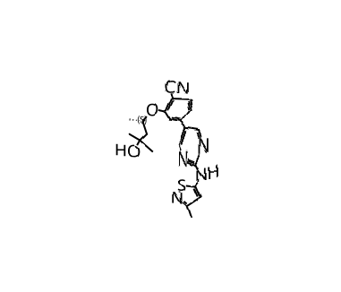 Cc1cc(Nc2ncc(-c3ccc(C#N)c(O[C@@H](C)CC(C)(C)O)c3)cn2)sn1